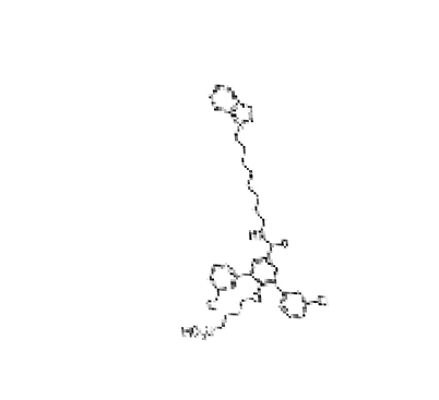 O=C(O)CCCCOc1c(-c2cccc(Cl)c2)cc(C(=O)NCCCCCCCCn2ccc3ccccc32)cc1-c1cccc(Cl)c1